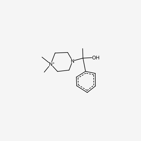 CC(O)(c1ccccc1)N1CC[N+](C)(C)CC1